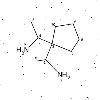 CC(N)C1(C(C)N)CCCC1